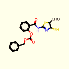 O=CC1SC(NC(=O)c2ccccc2OC(=O)OCc2ccccc2)=NC1S